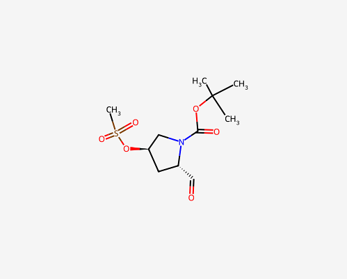 CC(C)(C)OC(=O)N1C[C@H](OS(C)(=O)=O)C[C@H]1C=O